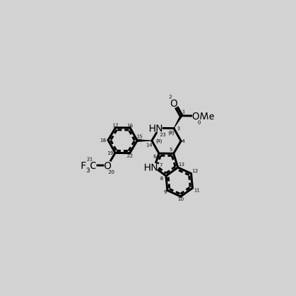 COC(=O)[C@H]1Cc2c([nH]c3ccccc23)[C@@H](c2cccc(OC(F)(F)F)c2)N1